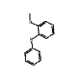 COc1ccccc1[N]c1ccccc1